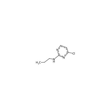 CCCNc1nccc(Cl)n1